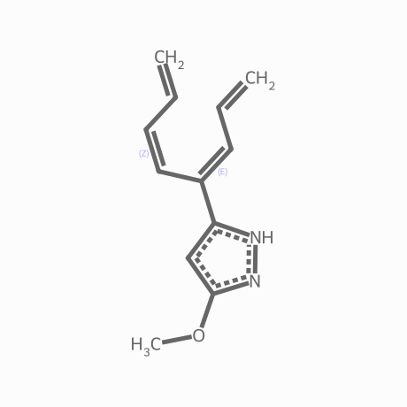 C=C/C=C\C(=C/C=C)c1cc(OC)n[nH]1